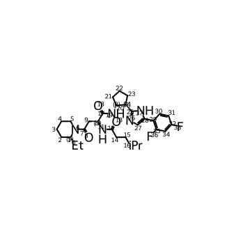 CC[C@H]1CCCCN1C(=O)C[C@H](NC(=O)CCC(C)C)C(=O)N[C@@H]1CCC[C@H]1c1ncc(-c2ccc(F)cc2F)[nH]1